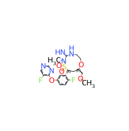 COC[C@H]1C[C@H](c2cc(Oc3ncncc3F)ccc2F)S(=O)(=O)N(C)C(=N)NCCO1